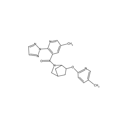 Cc1ccc(OC2CC3CC2N(C(=O)c2cc(C)cnc2-n2nccn2)C3)nc1